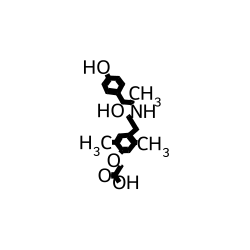 Cc1cc(OCC(=O)O)c(C)cc1CCNC(C)[C@@H](O)c1ccc(O)cc1